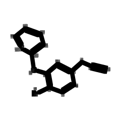 C#CCc1ccc(Br)c(Oc2ccccn2)c1